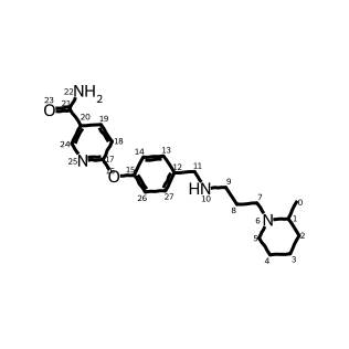 CC1CCCCN1CCCNCc1ccc(Oc2ccc(C(N)=O)cn2)cc1